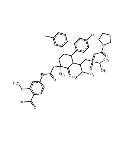 COc1cc(NC(=O)C[C@@]2(C)C[C@H](c3cccc(Cl)c3)[C@@H](c3ccc(Cl)cc3)N(C(CS(=O)(=NC(=O)N3CCCC3)C(C)C)C(C)C)C2=O)ccc1C(=O)O